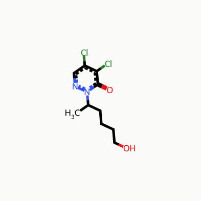 CC(CCCCO)n1ncc(Cl)c(Cl)c1=O